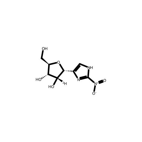 [2H][C@]1(O)[C@@H](c2c[nH]c([N+](=O)[O-])n2)O[C@H](CO)[C@H]1O